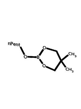 CCCCCOB1OCC(C)(C)CO1